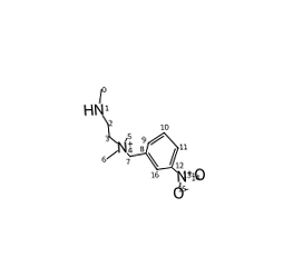 CNCC[N+](C)(C)Cc1cccc([N+](=O)[O-])c1